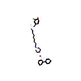 CN(CCCCCCCCCN1CCC(OC(=O)Nc2ccccc2-c2ccccc2)CC1)Cc1ccc(O)c(Cl)c1